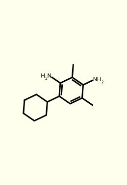 Cc1cc(C2CCCCC2)c(N)c(C)c1N